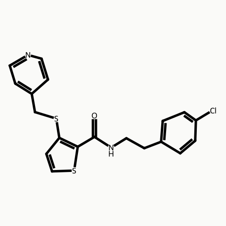 O=C(NCCc1ccc(Cl)cc1)c1sccc1SCc1ccncc1